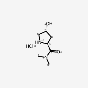 CN(C)C(=O)[C@@H]1C[C@@H](O)CN1.Cl